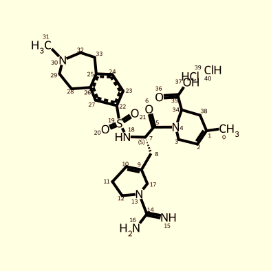 CC1=CCN(C(=O)[C@H](CC2=CCCN(C(=N)N)C2)NS(=O)(=O)c2ccc3c(c2)CCN(C)CC3)C(C(=O)O)C1.Cl.Cl